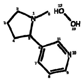 CN1CCCC1c1cccnc1.OO